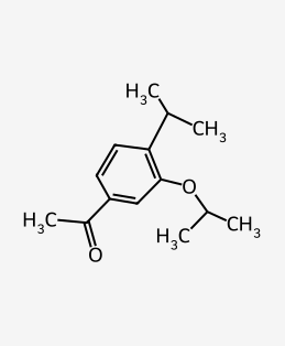 CC(=O)c1ccc(C(C)C)c(OC(C)C)c1